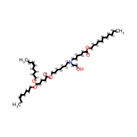 CC/C=C\CCCCOC(CCCC(=O)OCCCCCCCN(CCO)CCCCCC(=O)OCCCCCCCCCCC)OCCCC/C=C\CC